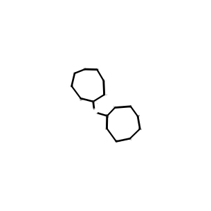 B(C1CCCCCCC1)C1CCCCCCC1